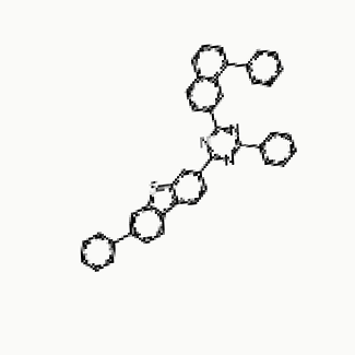 c1ccc(-c2ccc3c(c2)sc2cc(-c4nc(-c5ccccc5)nc(-c5ccc6cccc(-c7ccccc7)c6c5)n4)ccc23)cc1